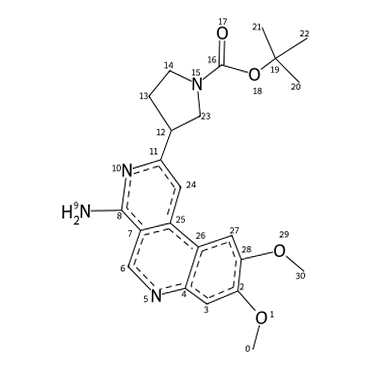 COc1cc2ncc3c(N)nc(C4CCN(C(=O)OC(C)(C)C)C4)cc3c2cc1OC